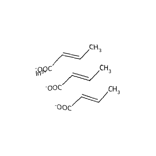 CC=CC(=O)[O-].CC=CC(=O)[O-].CC=CC(=O)[O-].[In+3]